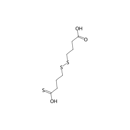 O=C(O)CCCSSCCCC(O)=S